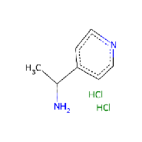 CC(N)c1ccncc1.Cl.Cl